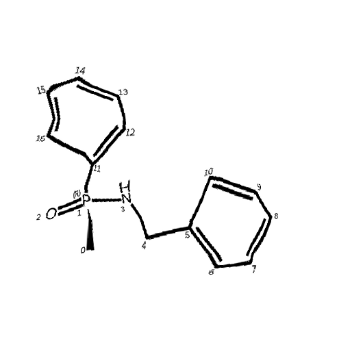 C[P@](=O)(NCc1ccccc1)c1ccccc1